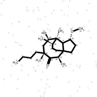 CCCC[C@]1(C)C[C@@H](O)[C@@]2(C)C3[C@H](OC)CCC3(CC[C@H]2C)[C@@H](C)C1=O